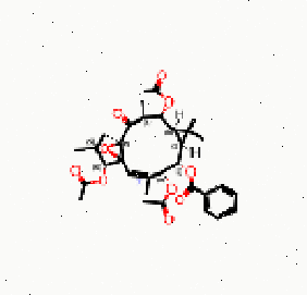 CC(=O)OC1[C@H](C)C(=O)[C@@]23C[C@H](C)[C@H](OC(C)=O)C2(/C=C(/C)[C@@H](OC(C)=O)[C@@H](OC(=O)c2ccccc2)[C@H]2[C@@H]1C2(C)C)O3